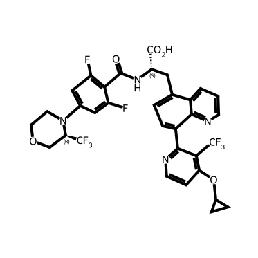 O=C(N[C@@H](Cc1ccc(-c2nccc(OC3CC3)c2C(F)(F)F)c2ncccc12)C(=O)O)c1c(F)cc(N2CCOC[C@@H]2C(F)(F)F)cc1F